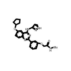 CC(C)(C)NC(=O)COc1cccc(-c2nc(Nc3cc[nH]n3)c3cc(OC4CCCC4)ccc3n2)c1